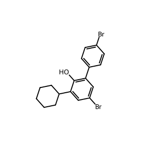 Oc1c(-c2ccc(Br)cc2)cc(Br)cc1C1CCCCC1